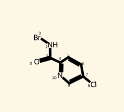 O=C(NBr)c1ccc(Cl)cn1